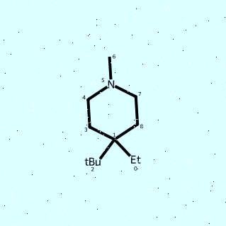 CCC1(C(C)(C)C)CCN(C)CC1